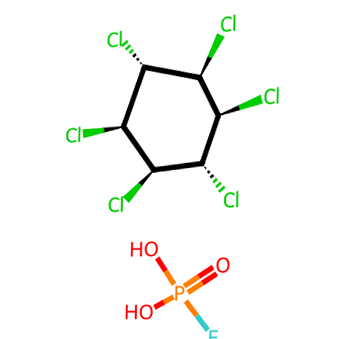 Cl[C@H]1[C@H](Cl)[C@@H](Cl)[C@@H](Cl)[C@H](Cl)[C@H]1Cl.O=P(O)(O)F